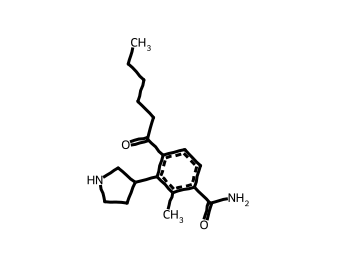 CCCCCC(=O)c1ccc(C(N)=O)c(C)c1C1CCNC1